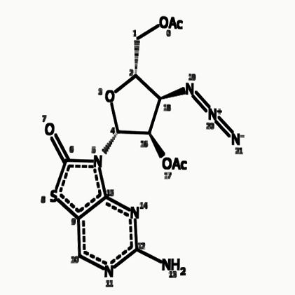 CC(=O)OC[C@H]1O[C@@H](n2c(=O)sc3cnc(N)nc32)[C@H](OC(C)=O)[C@@H]1N=[N+]=[N-]